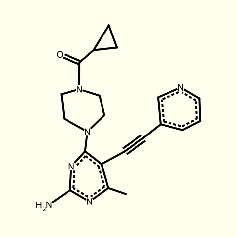 Cc1nc(N)nc(N2CCN(C(=O)C3CC3)CC2)c1C#Cc1cccnc1